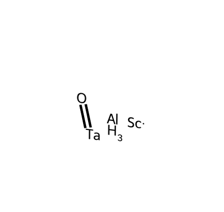 [AlH3].[O]=[Ta].[Sc]